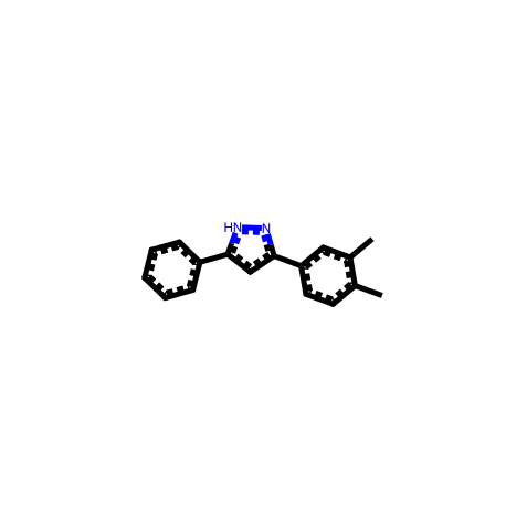 Cc1ccc(-c2cc(-c3ccccc3)[nH]n2)cc1C